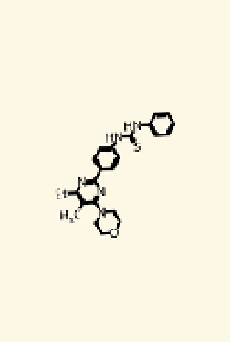 CCc1nc(-c2ccc(NC(=S)Nc3ccccc3)cc2)nc(N2CCOCC2)c1C